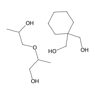 CC(O)COC(C)CO.OCC1(CO)CCCCC1